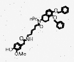 CCCN(C(=O)CCCCCNC(=O)Cc1ccc(O)c(OC)c1)C1CCc2c(ccc(OCc3ccccc3)c2OCc2ccccc2)C1